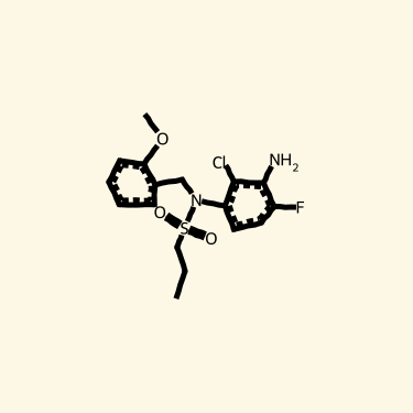 CCCS(=O)(=O)N(Cc1ccccc1OC)c1ccc(F)c(N)c1Cl